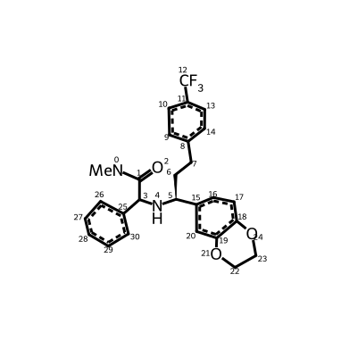 CNC(=O)C(N[C@@H](CCc1ccc(C(F)(F)F)cc1)c1ccc2c(c1)OCCO2)c1ccccc1